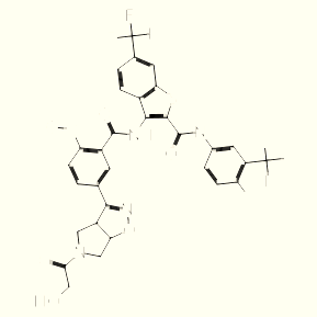 COc1ccc(C2=NOC3CN(C(=O)CO)CC23)cc1C(=O)Nc1c(C(=O)Nc2ccc(F)c(C(F)(F)F)c2)sc2cc(C(F)(F)F)ccc12